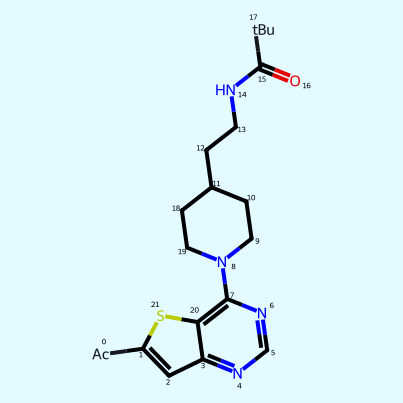 CC(=O)c1cc2ncnc(N3CCC(CCNC(=O)C(C)(C)C)CC3)c2s1